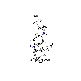 COc1ccc(Nc2ccc(N(C)c3ccc(C)cc3)cc2)c(C(=O)O)c1